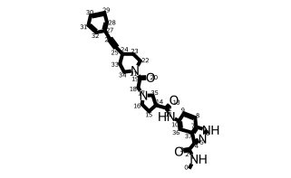 CNC(=O)c1n[nH]c2ccc(NC(=O)C3CCN(CC(=O)N4CCC(C#Cc5ccccc5)CC4)C3)cc12